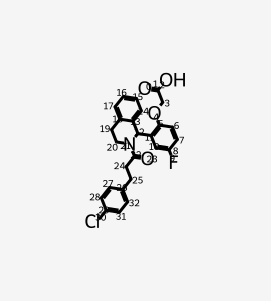 O=C(O)COc1ccc(F)cc1C1c2ccccc2CCN1C(=O)CCc1ccc(Cl)cc1